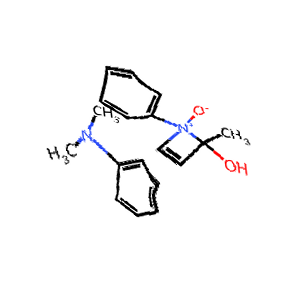 CC1(O)C=C[N+]1([O-])c1ccccc1.CN(C)c1ccccc1